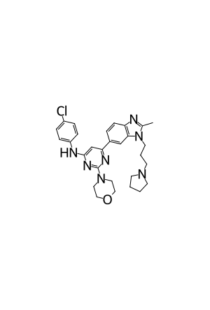 Cc1nc2ccc(-c3cc(Nc4ccc(Cl)cc4)nc(N4CCOCC4)n3)cc2n1CCCN1CCCC1